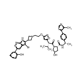 Cc1ncsc1-c1ccc([C@H](C)NC(=O)[C@@H]2C[C@@H](O)CN2C(=O)[C@@H](c2cc(OCCN3CC(c4[nH]c5nnc(-c6ccccc6O)cc5c4Br)C3)no2)C(C)C)cc1